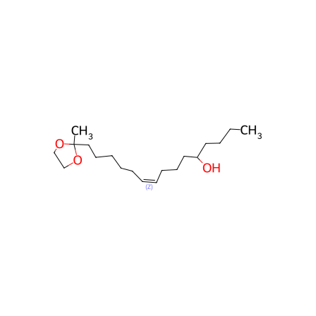 CCCCC(O)CCC/C=C\CCCCCC1(C)OCCO1